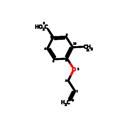 C=CCOc1ccc(C(=O)O)cc1C